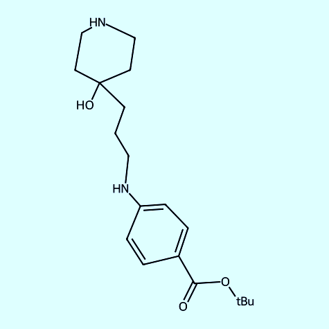 CC(C)(C)OC(=O)c1ccc(NCCCC2(O)CCNCC2)cc1